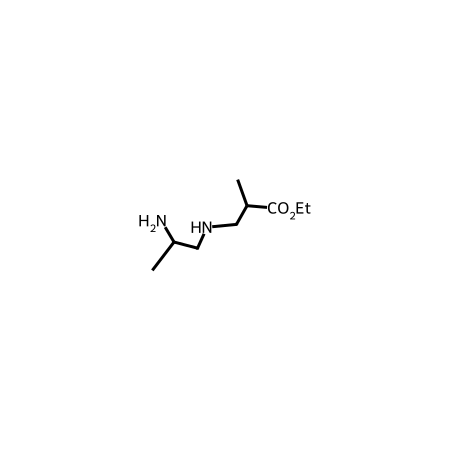 CCOC(=O)C(C)CNCC(C)N